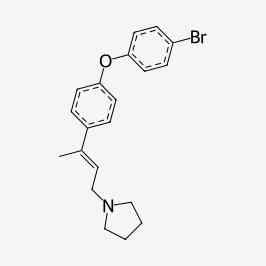 CC(=CCN1CCCC1)c1ccc(Oc2ccc(Br)cc2)cc1